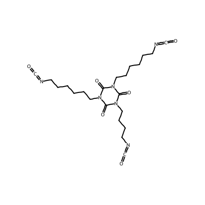 O=C=NCCCCCCn1c(=O)n(CCCCCCN=C=O)c(=O)n(CCCCN=C=O)c1=O